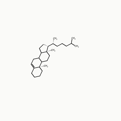 CC(C)CCC[C@@H](C)[C@H]1CCC2C3CC=C4CCCC[C@]4(C)C3CC[C@@]21C